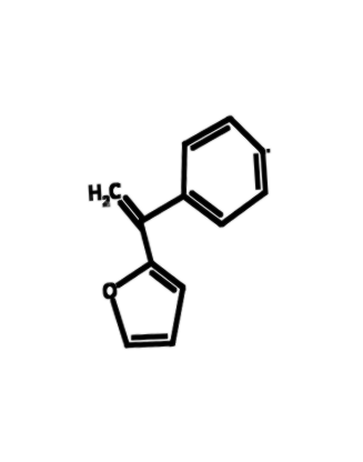 C=C(c1cc[c]cc1)c1ccco1